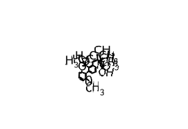 COc1cccc2c1-c1ccc3c(c1C(OC)O2)C(C)=C(C(C)(C)C)C(C)(C)N3C(=O)O